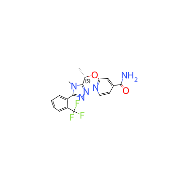 C[C@H](Oc1cc(C(N)=O)ccn1)c1nnc(-c2ccccc2C(F)(F)F)n1C